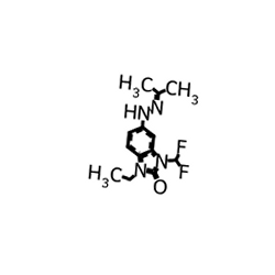 CCn1c(=O)n(C(F)F)c2cc(NN=C(C)C)ccc21